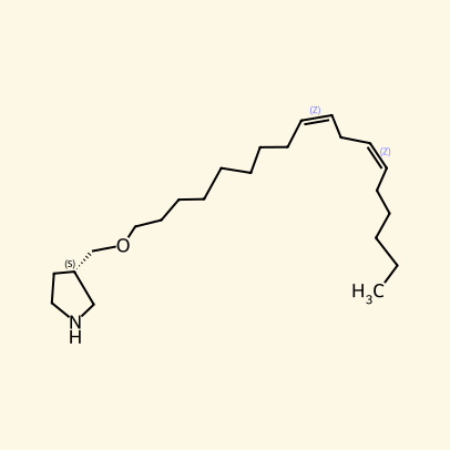 CCCCC/C=C\C/C=C\CCCCCCCCOC[C@H]1CCNC1